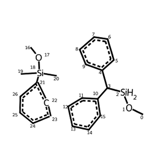 CO[SiH2]C(c1ccccc1)c1ccccc1.CO[Si](C)(C)c1ccccc1